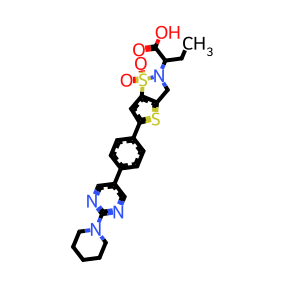 CCC(C(=O)O)N1Cc2sc(-c3ccc(-c4cnc(N5CCCCC5)nc4)cc3)cc2S1(=O)=O